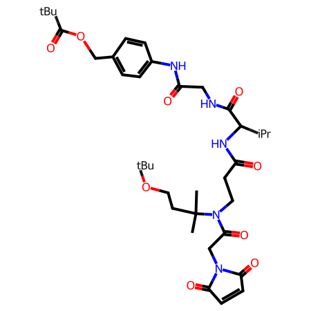 CC(C)C(NC(=O)CCN(C(=O)CN1C(=O)C=CC1=O)C(C)(C)CCOC(C)(C)C)C(=O)NCC(=O)Nc1ccc(COC(=O)C(C)(C)C)cc1